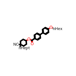 CCCCCCCC1(C#N)CCC(OC(=O)c2ccc(-c3ccc(OCCCCCC)cc3)cc2)CC1